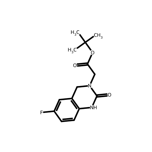 CC(C)(C)OC(=O)CN1Cc2cc(F)ccc2NC1=O